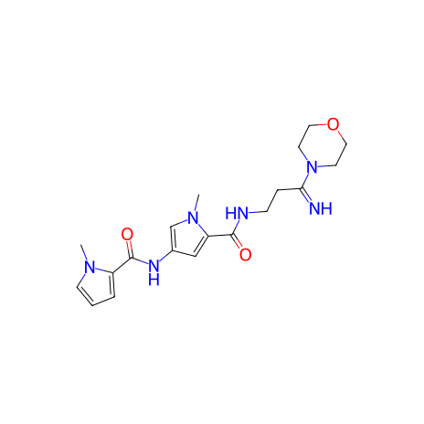 Cn1cc(NC(=O)c2cccn2C)cc1C(=O)NCCC(=N)N1CCOCC1